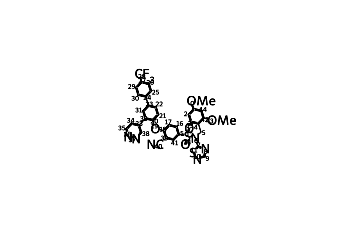 COc1ccc(CN(c2ncns2)S(=O)(=O)c2ccc(Oc3ccc(-c4ccc(C(F)(F)F)cc4)cc3-c3ccnnc3)c(C#N)c2)c(OC)c1